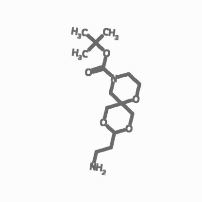 CC(C)(C)OC(=O)N1CCOC2(COC(CCN)OC2)C1